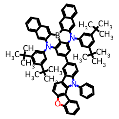 CC(C)(C)c1cc(N2c3cc4ccccc4cc3B3c4cc5ccccc5cc4N(c4cc(C(C)(C)C)cc(C(C)(C)C)c4)c4cc(-c5ccc6c(c5)c5ccc7oc8ccccc8c7c5n6-c5ccccc5)cc2c43)cc(C(C)(C)C)c1